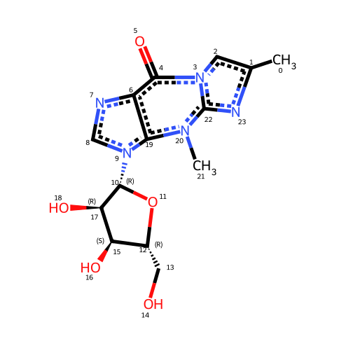 Cc1cn2c(=O)c3ncn([C@@H]4O[C@H](CO)[C@@H](O)[C@H]4O)c3n(C)c2n1